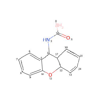 BC(=O)NC1c2ccccc2OC2C=CC=CC21